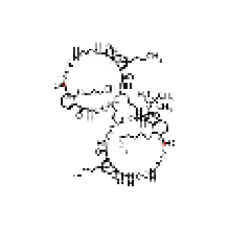 CCCCOC1C2=CCC[C@@H]1C(=O)NCCNCCNC(=O)[C@@H]1CCC=C(C(=O)NCCN(CCN3CCNC(=O)C4=CCC[C@@H](C(=O)NCCNCCNC(=O)[C@H]5CCC=C(C(=O)NC(CCCCNC(=O)OC(C)(C)C)C3)C5OCCCC)C4OCCCC)CCNC2=O)C1OCCCC